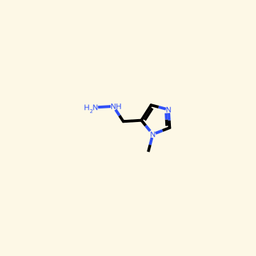 Cn1cncc1CNN